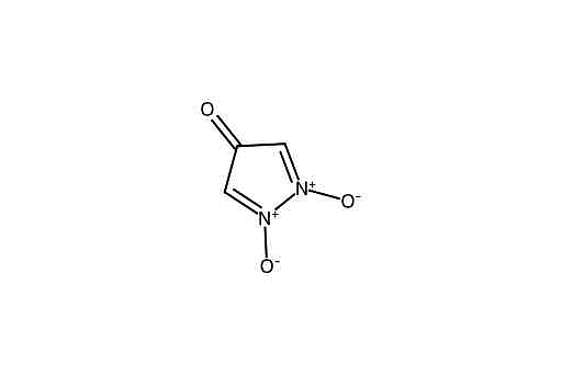 O=C1C=[N+]([O-])[N+]([O-])=C1